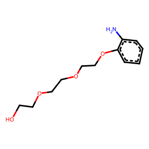 Nc1ccccc1OCCOCCOCCO